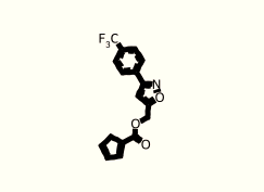 O=C(OCc1cc(-c2ccc(C(F)(F)F)cc2)no1)C1=CC=CC1